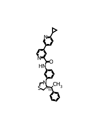 C[C@@H](c1ccccc1)[C@H]1CSCN1c1cccc(NC(=O)c2cc(-c3ccc(C4CC4)nc3)ccn2)c1